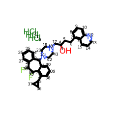 Cl.Cl.Cl.OC(CCc1cccc2ncccc12)CN1CCN(C2c3ccccc3[C@H](F)[C@H](F)c3c(C4CC4)cccc32)CC1